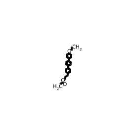 C=CCOc1ccc(-c2ccc(-c3ccc(CCCOC(=O)C=C)cc3)cc2)cc1